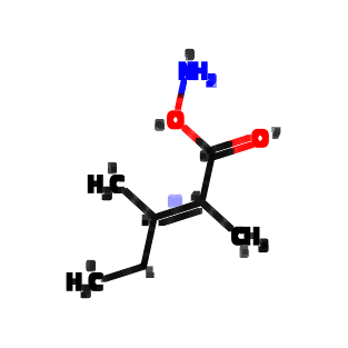 CC/C(C)=C(\C)C(=O)ON